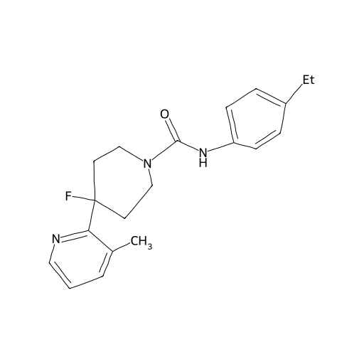 CCc1ccc(NC(=O)N2CCC(F)(c3ncccc3C)CC2)cc1